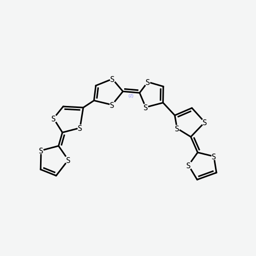 C1=CSC(=C2SC=C(C3=CS/C(=C4\SC=C(C5=CSC(=C6SC=CS6)S5)S4)S3)S2)S1